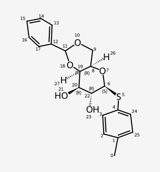 Cc1ccc(S[C@@H]2O[C@@H]3COC(c4ccccc4)O[C@@H]3[C@H](O)[C@H]2O)cc1